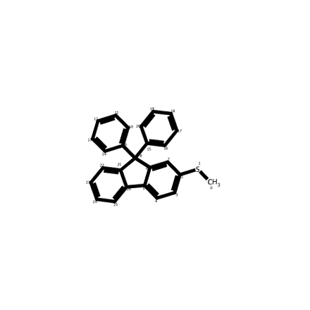 CSc1ccc2c(c1)C(c1ccccc1)(c1ccccc1)c1ccccc1-2